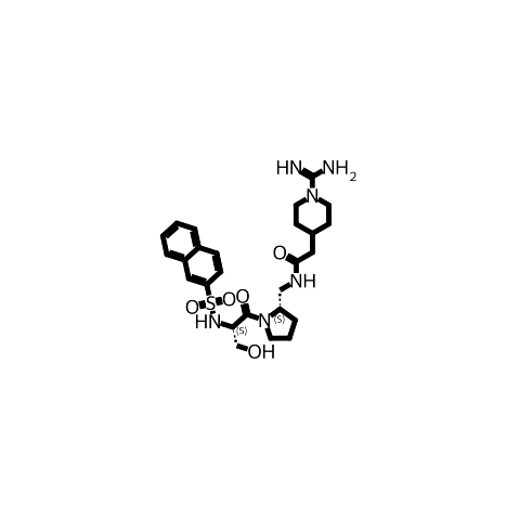 N=C(N)N1CCC(CC(=O)NC[C@@H]2CCCN2C(=O)[C@H](CO)NS(=O)(=O)c2ccc3ccccc3c2)CC1